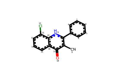 N#Cc1c(-c2ccccc2)[nH]c2c(Cl)cccc2c1=O